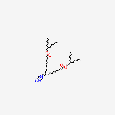 CCCCCC(CCCCC)CCOC(=O)CCCCCCCCCC(CCCCCCCCCC(=O)OCCC(CCCCC)CCCCC)CCN1CCNCC1